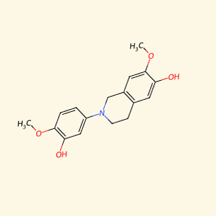 COc1ccc(N2CCc3cc(O)c(OC)cc3C2)cc1O